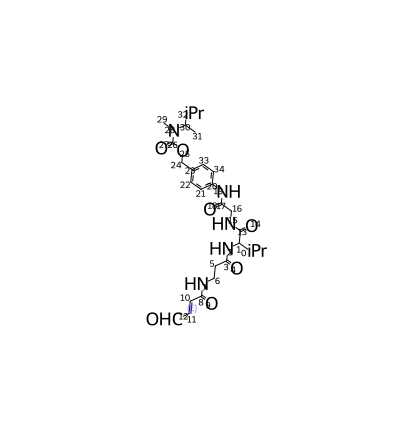 CC(C)C(NC(=O)CCNC(=O)/C=C/C=O)C(=O)NCC(=O)Nc1ccc(COC(=O)N(C)C(C)C(C)C)cc1